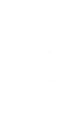 C[Si](C)(C)CCOCn1cccc1C(=O)c1ccc(N)cc1